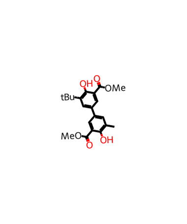 COC(=O)c1cc(-c2cc(C(=O)OC)c(O)c(C(C)(C)C)c2)cc(C)c1O